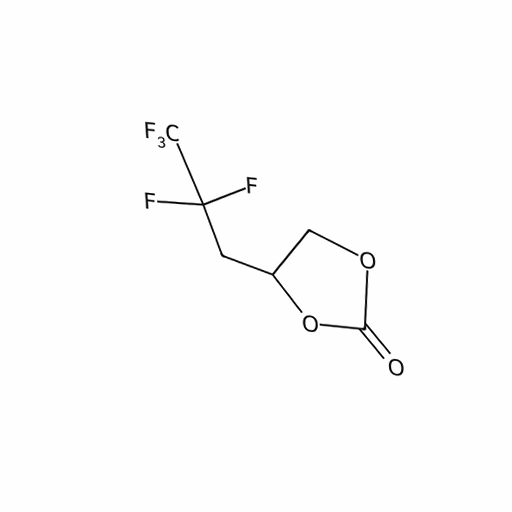 O=C1OCC(CC(F)(F)C(F)(F)F)O1